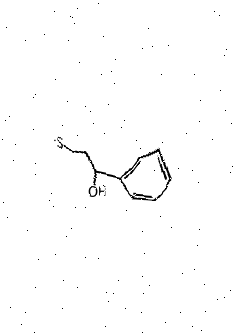 OC(C[S])c1ccccc1